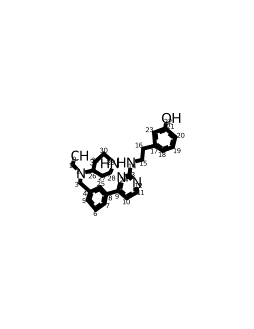 CCN(Cc1cccc(-c2ccnc(NCCc3cccc(O)c3)n2)c1)C1CCNCC1